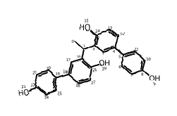 CC(c1cc(-c2ccc(O)cc2)ccc1O)c1cc(-c2ccc(O)cc2)ccc1O